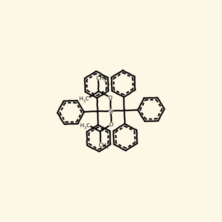 CC(C)O[Si](OC(C)C)(C(c1ccccc1)(c1ccccc1)c1ccccc1)C(c1ccccc1)(c1ccccc1)c1ccccc1